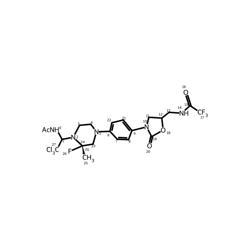 CC(=O)NC(N1CCN(c2ccc(N3CC(CNC(=O)C(F)(F)F)OC3=O)cc2)C[C@]1(C)F)C(Cl)(Cl)Cl